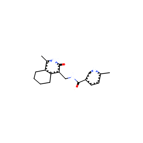 Cc1ccc(C(=O)NCc2c3c(c(C)[nH]c2=O)CCCC3)cn1